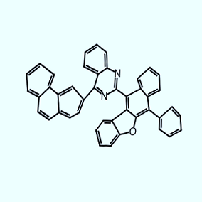 c1ccc(-c2c3ccccc3c(-c3nc(-c4ccc5ccc6ccccc6c5c4)c4ccccc4n3)c3c2oc2ccccc23)cc1